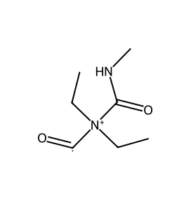 CC[N+]([C]=O)(CC)C(=O)NC